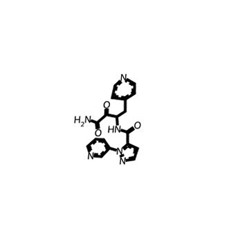 NC(=O)C(=O)C(Cc1ccncc1)NC(=O)c1ccnn1-c1cccnc1